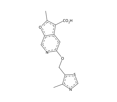 Cc1ncsc1COc1cc2c(C(=O)O)c(C)oc2cn1